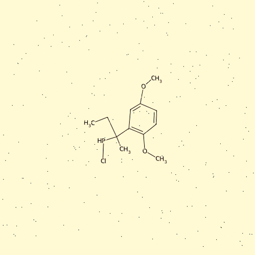 CCC(C)(PCl)c1cc(OC)ccc1OC